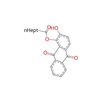 CCCCCCCC(=O)Oc1c(O)ccc2c1C(=O)c1ccccc1C2=O